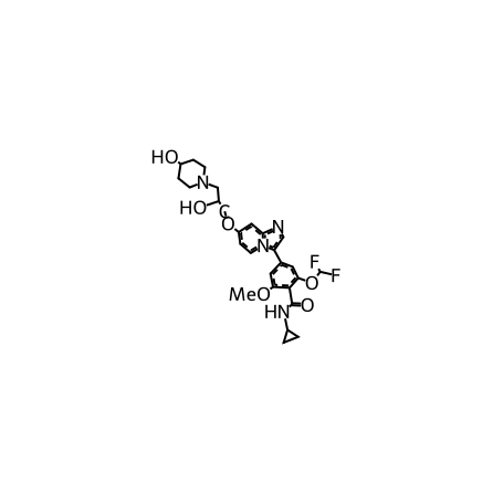 COc1cc(-c2cnc3cc(OCC(O)CN4CCC(O)CC4)ccn23)cc(OC(F)F)c1C(=O)NC1CC1